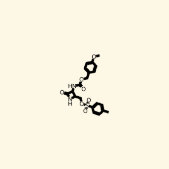 COc1ccc(COC(=O)NC2C(=O)NC2COS(=O)(=O)c2ccc(C)cc2)cc1